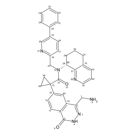 NCc1n[nH]c(=O)c2ccc(C3(C(=O)N(Cc4ccc(-c5ccccc5)cn4)[C@@H]4CCCc5cccnc54)CC3)cc12